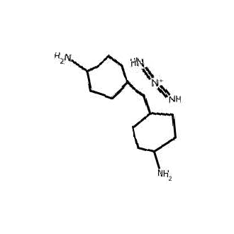 N=[N+]=N.NC1CCC(CC2CCC(N)CC2)CC1